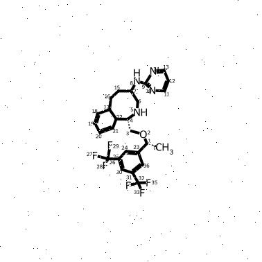 C[C@@H](OC[C@H]1NCC(Nc2ncccn2)CCC2C=CC=CC21)c1cc(C(F)(F)F)cc(C(F)(F)F)c1